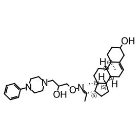 CC(=NOCC(O)CN1CCN(c2ccccc2)CC1)[C@H]1CC[C@H]2[C@@H]3CC=C4CC(O)CC[C@]4(C)[C@H]3CC[C@]12C